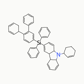 C1=CCC(c2ccc([Si](C3=CC4C5C=CC=CC5N(C5C=CCCC5)C4C=C3)(c3ccccc3)c3ccccc3)cc2-c2ccccc2)C=C1